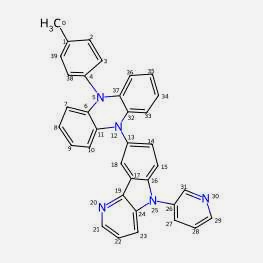 Cc1ccc(N2c3ccccc3N(c3ccc4c(c3)c3ncccc3n4-c3cccnc3)c3ccccc32)cc1